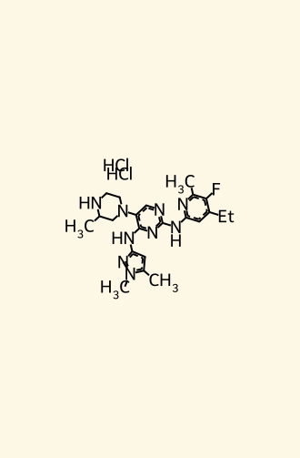 CCc1cc(Nc2ncc(N3CCNC(C)C3)c(Nc3cc(C)n(C)n3)n2)nc(C)c1F.Cl.Cl